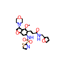 COc1c(C=CC(=O)NCc2ccco2)c(NS(=O)(=O)c2nccs2)cc2occ(N3CCOCC3)c12